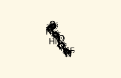 O=C(NC1CCN(c2ccnc(F)c2)CC1)c1ccc(-c2nccc3occc23)cc1